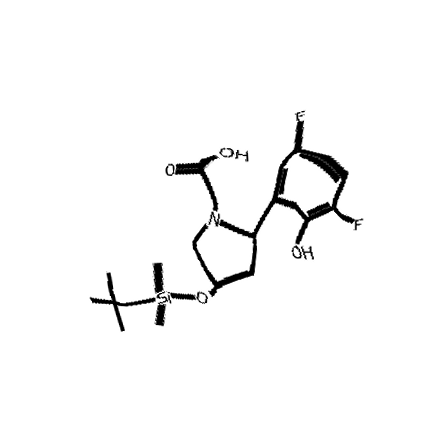 CC(C)(C)[Si](C)(C)O[C@@H]1CC(c2cc(F)cc(F)c2O)N(C(=O)O)C1